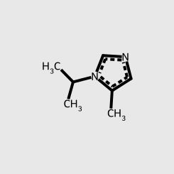 Cc1cncn1C(C)C